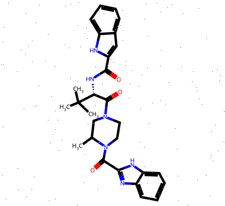 CC1CN(C(=O)[C@@H](NC(=O)c2cc3ccccc3[nH]2)C(C)(C)C)CCN1C(=O)c1nc2ccccc2[nH]1